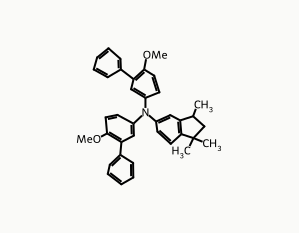 COc1ccc(N(c2ccc(OC)c(-c3ccccc3)c2)c2ccc3c(c2)C(C)CC3(C)C)cc1-c1ccccc1